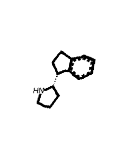 c1ccc2c(c1)CCC2[C@@H]1CCCN1